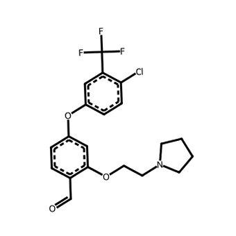 O=Cc1ccc(Oc2ccc(Cl)c(C(F)(F)F)c2)cc1OCCN1CCCC1